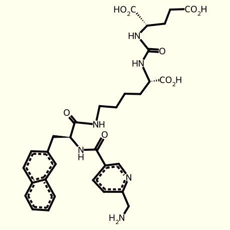 NCc1ccc(C(=O)N[C@@H](Cc2ccc3ccccc3c2)C(=O)NCCCC[C@H](NC(=O)N[C@@H](CCC(=O)O)C(=O)O)C(=O)O)cn1